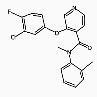 Cc1ccccc1N(C)C(=O)c1ccncc1Oc1ccc(F)c(Cl)c1